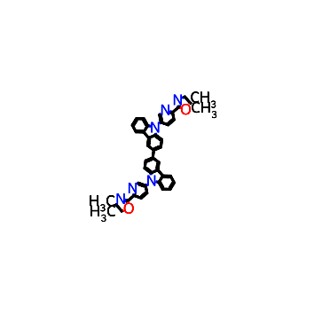 CC1(C)COC(c2ccc(-n3c4ccccc4c4cc(-c5ccc6c(c5)c5ccccc5n6-c5ccc(C6=NCC(C)(C)O6)nc5)ccc43)cn2)=N1